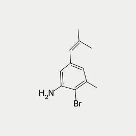 CC(C)=Cc1cc(C)c(Br)c(N)c1